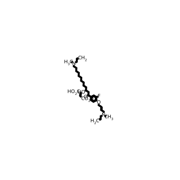 C=CCN(C)CC=CCOc1ccc(C(=O)CC(O)CCCCCCCCCCN(C)CC=C)cc1F.O=C(O)C=CC(=O)O